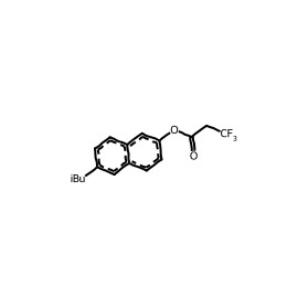 CCC(C)c1ccc2cc(OC(=O)CC(F)(F)F)ccc2c1